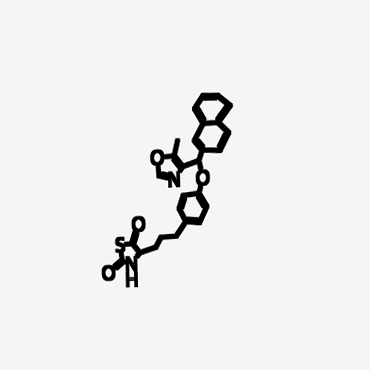 Cc1ocnc1C(Oc1ccc(CCCC2NC(=O)SC2=O)cc1)c1ccc2ccccc2c1